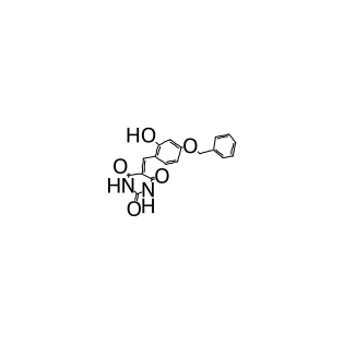 O=C1NC(=O)C(=Cc2ccc(OCc3ccccc3)cc2O)C(=O)N1